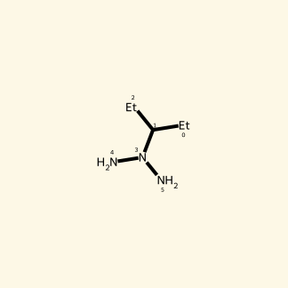 CCC(CC)N(N)N